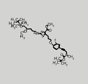 COC(=O)c1nc(NCCCC(CO[Si](C)(C)C(C)(C)C)OC)sc1CCCOc1ccc(C#CCN(C)C(=O)OC(C)(C)C)cc1F